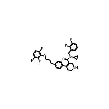 O=C(C1=C(c2ccc(CCCOc3c(F)ccc(F)c3F)cc2)CCNC1)N(Cc1cccc(F)c1F)C1CC1